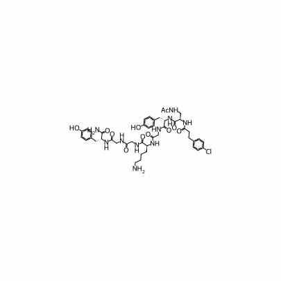 CC(=O)NC[C@@H](NC(=O)CCc1ccc(Cl)cc1)C(=O)N[C@@H](Cc1ccc(O)cc1)C(=O)NCC(=O)N[C@@H](CCCCN)C(=O)NCC(=O)NCC(=O)N[C@H](Cc1ccc(O)cc1)C(N)=O